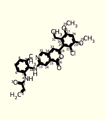 C=CC(=O)Nc1cccc(C)c1Nc1cc2c(=O)oc(-c3c(Cl)c(OC)cc(OC)c3CC)cc2cn1